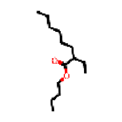 CCCCCCC(CC)C(=O)OCCCC